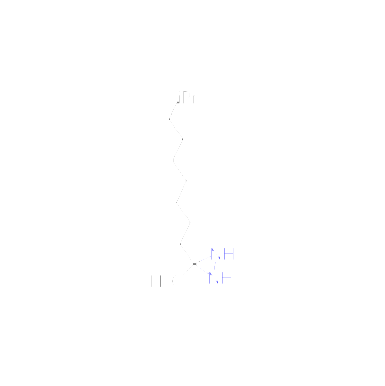 CC(C)CCCCCCCC1(C)NN1